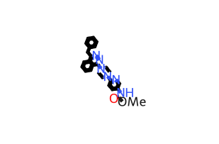 COC(=O)Nc1ccc(N2CCN(c3nnc(Cc4ccccc4)c4ccccc34)CC2)nc1